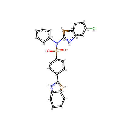 O=S(=O)(c1ccc(-c2nc3ccccc3s2)cc1)N(c1ccccc1)c1nc2cc(Cl)ccc2s1